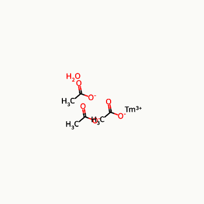 CC(=O)[O-].CC(=O)[O-].CC(=O)[O-].O.[Tm+3]